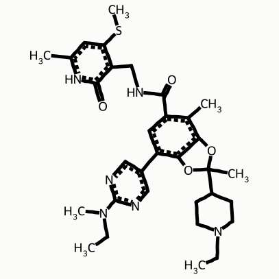 CCN1CCC(C2(C)Oc3c(-c4cnc(N(C)CC)nc4)cc(C(=O)NCc4c(SC)cc(C)[nH]c4=O)c(C)c3O2)CC1